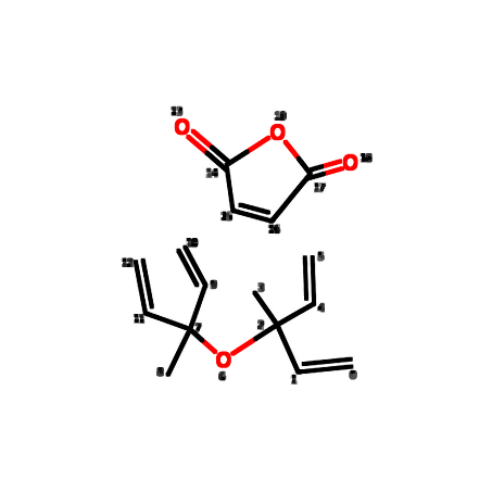 C=CC(C)(C=C)OC(C)(C=C)C=C.O=C1C=CC(=O)O1